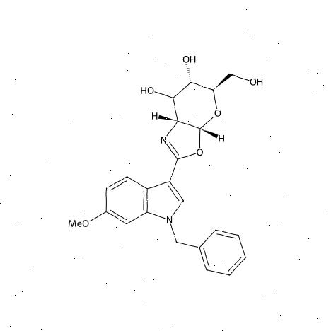 COc1ccc2c(C3=N[C@@H]4C(O)[C@H](O)[C@@H](CO)O[C@@H]4O3)cn(Cc3ccccc3)c2c1